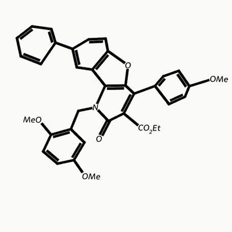 CCOC(=O)c1c(-c2ccc(OC)cc2)c2oc3ccc(-c4ccccc4)cc3c2n(Cc2cc(OC)ccc2OC)c1=O